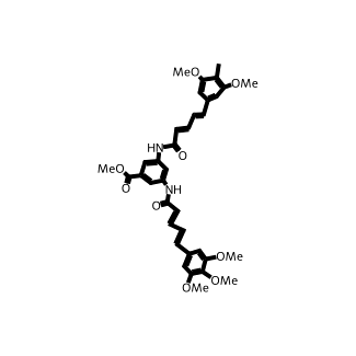 COC(=O)c1cc(NC(=O)/C=C/C=C/c2cc(OC)c(C)c(OC)c2)cc(NC(=O)/C=C/C=C/c2cc(OC)c(OC)c(OC)c2)c1